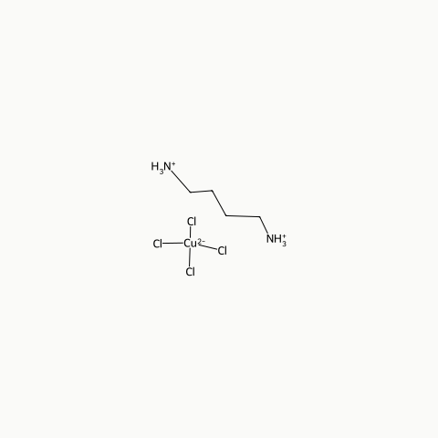 [Cl][Cu-2]([Cl])([Cl])[Cl].[NH3+]CCCC[NH3+]